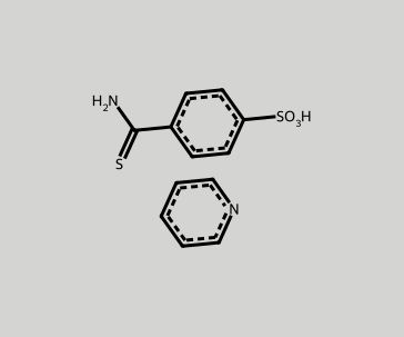 NC(=S)c1ccc(S(=O)(=O)O)cc1.c1ccncc1